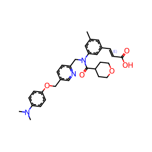 Cc1cc(/C=C/C(=O)O)cc(N(Cc2ccc(COc3ccc(N(C)C)cc3)cn2)C(=O)C2CCOCC2)c1